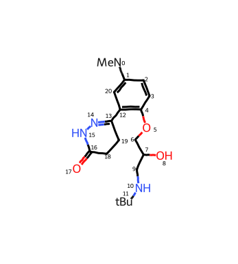 CNc1ccc(OCC(O)CNC(C)(C)C)c(C2=NNC(=O)CC2)c1